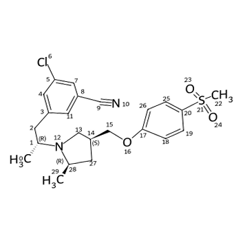 C[C@H](Cc1cc(Cl)cc(C#N)c1)N1C[C@@H](COc2ccc(S(C)(=O)=O)cc2)C[C@H]1C